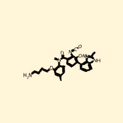 COc1c(-c2cccc3[nH]c(C)nc23)ccc(C(=O)N(C)c2ccc(C)cc2OCCCCN)c1N=C=O